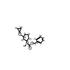 CN(C(=O)OCc1ccccc1)C1CCCC(OC2CC2)C1